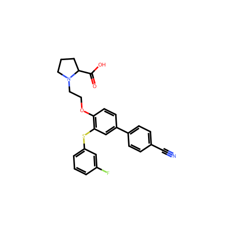 N#Cc1ccc(-c2ccc(OCCN3CCCC3C(=O)O)c(Sc3cccc(F)c3)c2)cc1